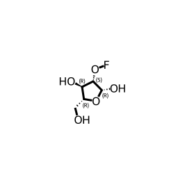 OC[C@H]1O[C@@H](O)[C@@H](OF)[C@@H]1O